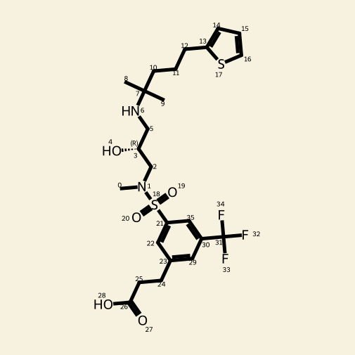 CN(C[C@H](O)CNC(C)(C)CCCc1cccs1)S(=O)(=O)c1cc(CCC(=O)O)cc(C(F)(F)F)c1